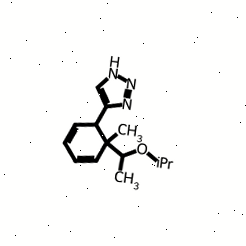 CC(C)OC(C)C1(C)C=CC=CC1c1c[nH]nn1